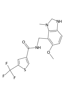 COc1ccc2c(c1CNC(=O)c1csc(C(F)(F)F)c1)N(C)CN2